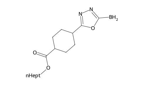 Bc1nnc(C2CCC(C(=O)OCCCCCCC)CC2)o1